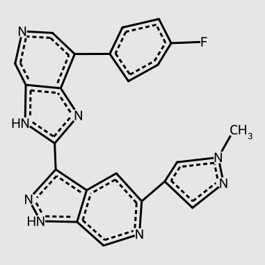 Cn1cc(-c2cc3c(-c4nc5c(-c6ccc(F)cc6)cncc5[nH]4)n[nH]c3cn2)cn1